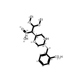 CCOC(OCC)C([C@H]1CN[C@H](Cc2ccccc2C(=O)O)CO1)[PH](=O)O